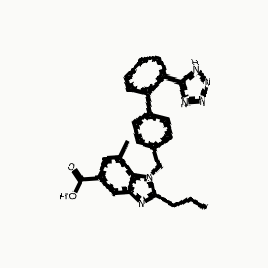 CCCc1nc2cc(C(=O)O)cc(C)c2n1Cc1ccc(-c2ccccc2-c2nnn[nH]2)cc1